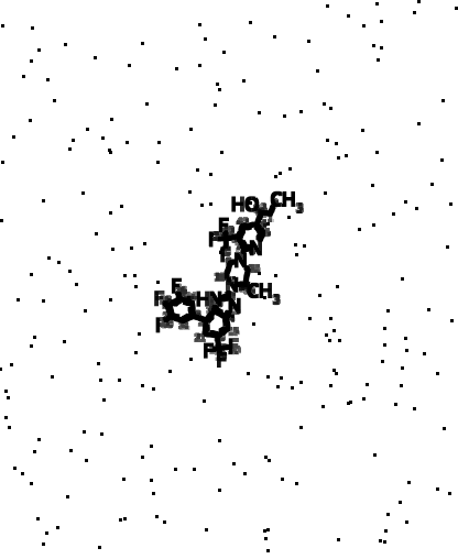 CC[C@H](O)c1cnc(N2CCN(c3nc4cc(C(F)(F)F)cc(-c5cc(F)c(F)c(F)c5)c4[nH]3)[C@H](C)C2)c(C(F)(F)F)c1